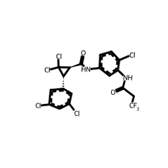 O=C(CC(F)(F)F)Nc1cc(NC(=O)[C@H]2[C@H](c3cc(Cl)cc(Cl)c3)C2(Cl)Cl)ccc1Cl